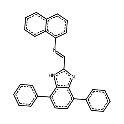 C(=N\c1cccc2ccccc12)/c1nc2c(-c3ccccc3)ccc(-c3ccccc3)c2[nH]1